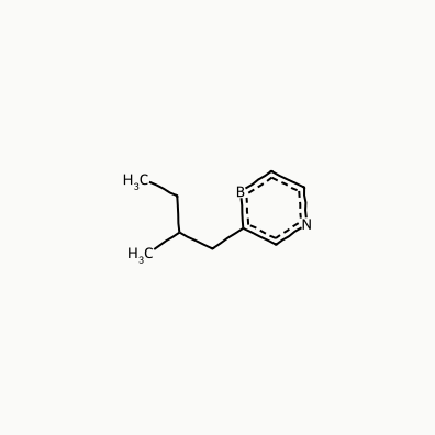 CCC(C)Cc1bccnc1